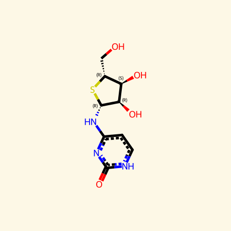 O=c1nc(N[C@@H]2S[C@H](CO)[C@@H](O)[C@H]2O)cc[nH]1